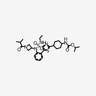 CCNS(=O)(=O)N(c1ccccc1-c1cnc(C2CCC(NC(=O)OC(C)C)CC2)s1)C1CN(C(=O)C(C)C)C1